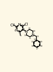 Cc1nc(Cl)nc(Cl)c1N1CCN(Cc2ccccc2)CC1